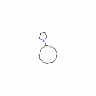 C1CCCCCC(N2CCCC2)CCCC1